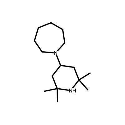 CC1(C)CC(N2CCCCCC2)CC(C)(C)N1